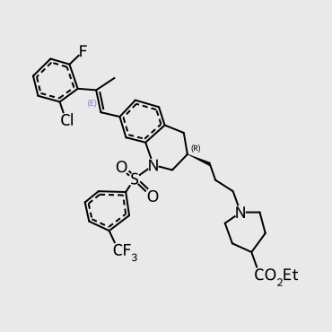 CCOC(=O)C1CCN(CCC[C@@H]2Cc3ccc(/C=C(\C)c4c(F)cccc4Cl)cc3N(S(=O)(=O)c3cccc(C(F)(F)F)c3)C2)CC1